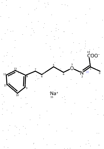 C/C(=N/OCCCCc1ccccc1)C(=O)[O-].[Na+]